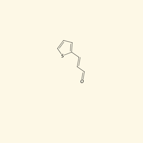 O=CC=Cc1cccs1